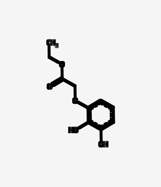 CCOC(=O)COc1cccc(O)c1O